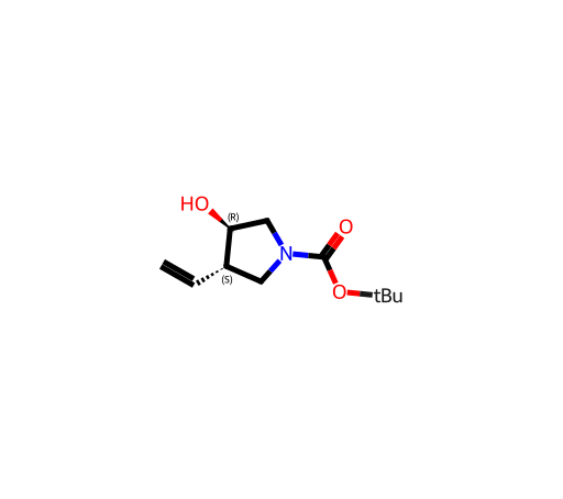 C=C[C@H]1CN(C(=O)OC(C)(C)C)C[C@@H]1O